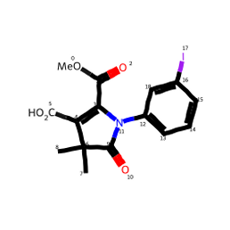 COC(=O)C1=C(C(=O)O)C(C)(C)C(=O)N1c1cccc(I)c1